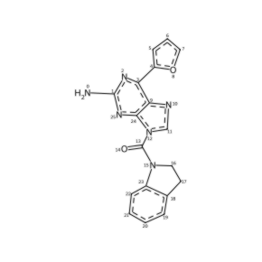 Nc1nc(-c2ccco2)c2ncn(C(=O)N3CCc4ccccc43)c2n1